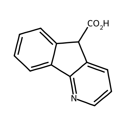 O=C(O)C1c2ccccc2-c2ncccc21